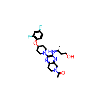 CC(=O)N1CCc2nc(N3CCC(Oc4ccc(F)cc4F)CC3)c(N[C@H](C)CCO)nc2C1